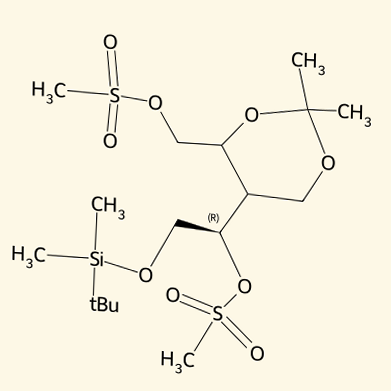 CC1(C)OCC([C@H](CO[Si](C)(C)C(C)(C)C)OS(C)(=O)=O)C(COS(C)(=O)=O)O1